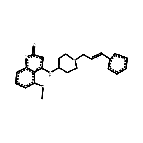 COc1cccc2oc(=O)cc(NC3CCN(C/C=C/c4ccccc4)CC3)c12